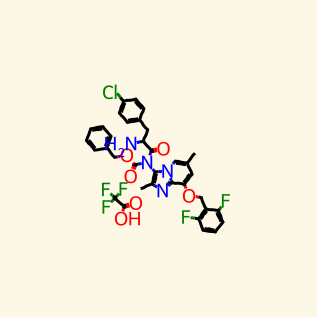 Cc1cc(OCc2c(F)cccc2F)c2nc(C)c(N(C(=O)OCc3ccccc3)C(=O)C(N)Cc3ccc(Cl)cc3)n2c1.O=C(O)C(F)(F)F